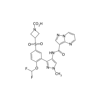 Cn1cc(NC(=O)c2cnn3cccnc23)c(-c2cc(S(=O)(=O)C3CN(C(=O)O)C3)ccc2OC(F)F)n1